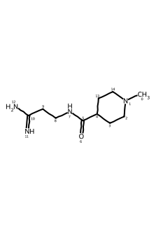 CN1CCC(C(=O)NCCC(=N)N)CC1